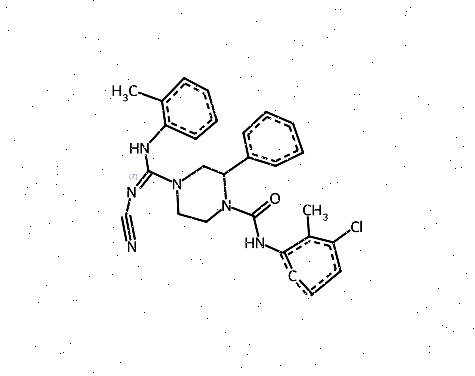 Cc1ccccc1N/C(=N/C#N)N1CCN(C(=O)Nc2cccc(Cl)c2C)C(c2ccccc2)C1